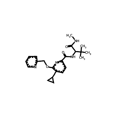 CNC(=O)C(NC(=O)c1ccc(C2CC2)c(OCc2ccccn2)n1)C(C)(C)C